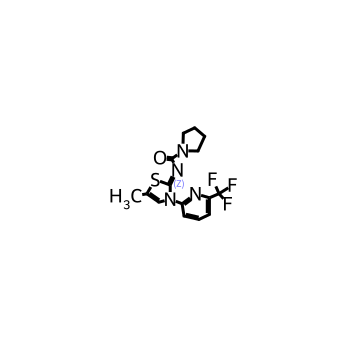 Cc1cn(-c2cccc(C(F)(F)F)n2)/c(=N/C(=O)N2CCCC2)s1